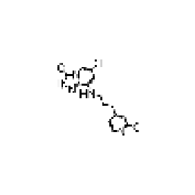 O=c1[nH]nc2c(NCCCc3ccnc(Cl)c3)cc(Cl)cn12